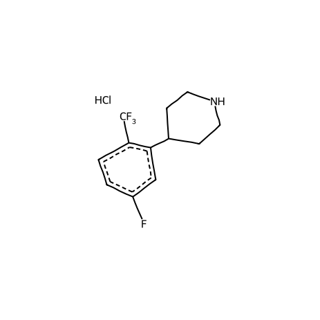 Cl.Fc1ccc(C(F)(F)F)c(C2CCNCC2)c1